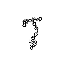 O=C1CCC(N2C(=O)c3ccc(N4CCC(CN5CCN(c6ccc(N(C(=O)NCc7ccccc7)C7CCC(Nc8ncc9ccccc9n8)CC7)cc6)CC5)CC4)cc3C2=O)C(=O)N1